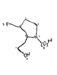 O=C(O)N1CCC(F)C1CO